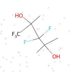 CC(C)(O)C(F)(F)C(C)(O)C(F)(F)F